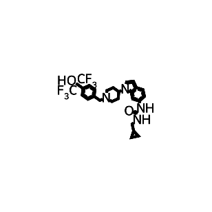 O=C(NCC1CC1)Nc1ccc2ccn(C3CCN(Cc4ccc(C(O)(C(F)(F)F)C(F)(F)F)cc4)CC3)c2c1